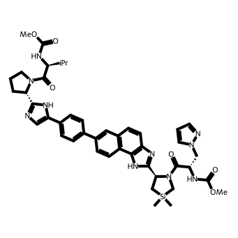 COC(=O)N[C@@H](Cn1cccn1)C(=O)N1C[Si](C)(C)C[C@H]1c1nc2ccc3cc(-c4ccc(-c5cnc([C@@H]6CCCN6C(=O)[C@@H](NC(=O)OC)C(C)C)[nH]5)cc4)ccc3c2[nH]1